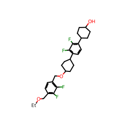 CCOCc1ccc(COC2CCC(c3ccc(C4CCC(O)CC4)c(F)c3F)CC2)c(F)c1F